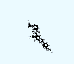 CC(C)Oc1c(C(=O)Nc2cccn([C@H]3C[C@H]3F)c2=O)cn2cc([C@]34CC[C@](C)(C3)OC4)nc2c1F